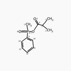 CC(C)C(=O)OP(C)(=O)c1ccccc1